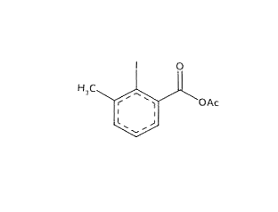 CC(=O)OC(=O)c1cccc(C)c1I